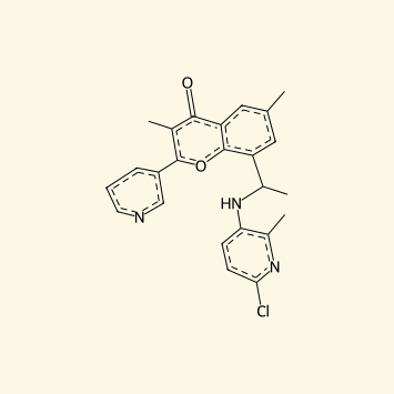 Cc1cc(C(C)Nc2ccc(Cl)nc2C)c2oc(-c3cccnc3)c(C)c(=O)c2c1